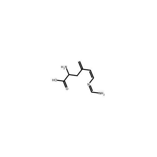 C=C(/C=C\N=C/N)CC(N)C(=O)O